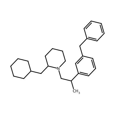 CC(CN1CCCCC1CC1CCCCC1)c1cccc(Cc2ccccc2)c1